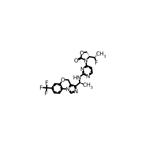 C[C@H](Nc1nccc(N2C(=O)OC[C@@H]2[C@H](C)F)n1)c1ncn2c1COc1cc(C(F)(F)F)ccc1-2